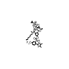 C=CCCCCN(C)C(=O)[C@@H]1C[C@H](OC(=O)Nc2cc(C(F)(F)F)ccc2C2=NC(C)C(C)S2)C[C@H]1C(=O)N[C@]1(C(=O)NS(=O)(=O)C2CC2)C[C@H]1C=C